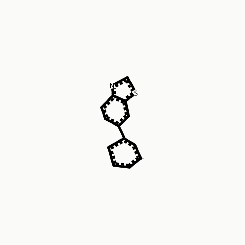 [c]1cccc(-c2ccc3ncsc3c2)c1